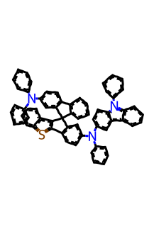 c1ccc(N(c2ccccc2)c2ccc3c(c2)C2(c4ccccc4-3)c3cc(N(c4ccccc4)c4ccc5c(c4)c4ccccc4n5-c4ccccc4)ccc3-c3sc4ccccc4c32)cc1